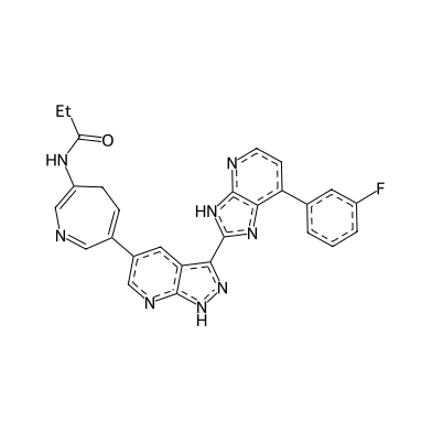 CCC(=O)NC1=CN=CC(c2cnc3[nH]nc(-c4nc5c(-c6cccc(F)c6)ccnc5[nH]4)c3c2)=CC1